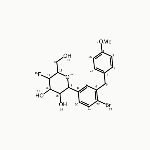 COc1ccc(Cc2cc(C3OC(CO)C(F)C(O)C3O)ccc2Br)cc1